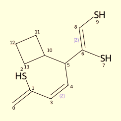 C=C(S)/C=C\C(/C(S)=C/S)C1CCC1